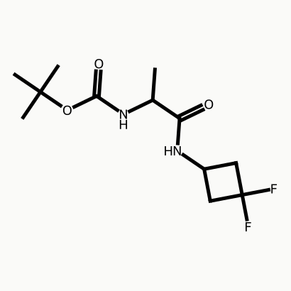 CC(NC(=O)OC(C)(C)C)C(=O)NC1CC(F)(F)C1